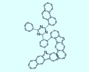 c1ccc(-c2nc(-c3ccc(-n4c5ccccc5c5cc6ccccc6cc54)cc3-c3cccc4sc5cc6ccccc6cc5c34)nc(-c3cccc4c3ccc3ccccc34)n2)cc1